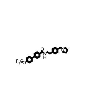 O=C(NCCc1ccc(CN2CCCC2)cc1)c1ccc(-c2ccc(OC(F)(F)F)cc2)cc1